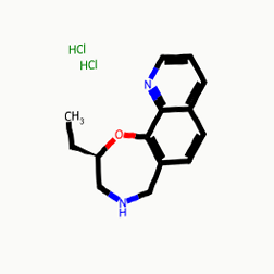 CC[C@@H]1CNCc2ccc3cccnc3c2O1.Cl.Cl